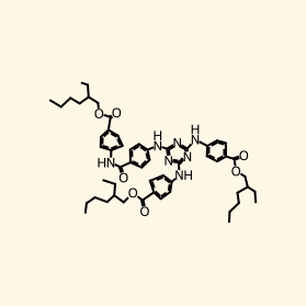 CCCCC(CC)COC(=O)c1ccc(NC(=O)c2ccc(Nc3nc(Nc4ccc(C(=O)OCC(CC)CCCC)cc4)nc(Nc4ccc(C(=O)OCC(CC)CCCC)cc4)n3)cc2)cc1